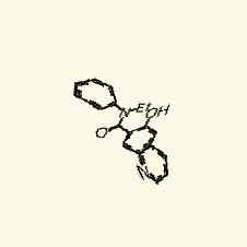 CCN(C(=O)c1cc2ncccc2cc1O)c1ccccc1